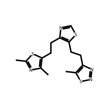 Cc1nc(C)c(CCc2ncsc2CCc2nnsc2C)s1